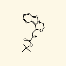 CC(C)(C)OC(=O)NCC1OCCn2nc3ccccc3c21